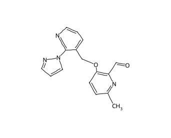 Cc1ccc(OCc2cccnc2-n2cccn2)c(C=O)n1